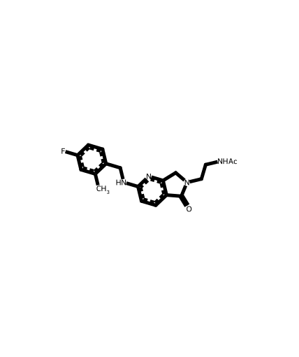 CC(=O)NCCN1Cc2nc(NCc3ccc(F)cc3C)ccc2C1=O